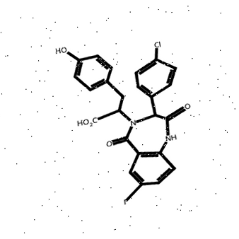 O=C(O)C(Cc1ccc(O)cc1)N1C(=O)c2cc(I)ccc2NC(=O)C1c1ccc(Cl)cc1